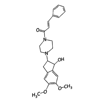 COc1cc2c(cc1OC)C(O)C(N1CCN(C(=O)C=Cc3ccccc3)CC1)C2